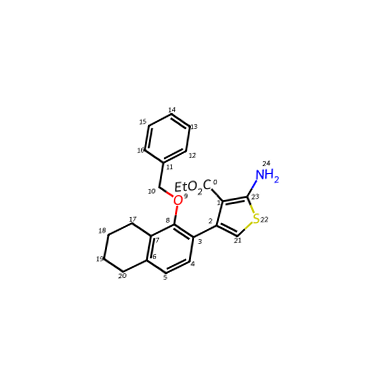 CCOC(=O)c1c(-c2ccc3c(c2OCc2ccccc2)CCCC3)csc1N